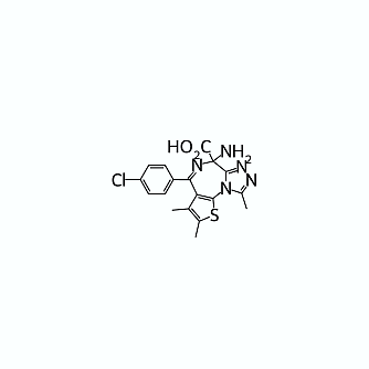 Cc1sc2c(c1C)C(c1ccc(Cl)cc1)=NC(N)(C(=O)O)c1nnc(C)n1-2